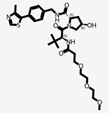 COCCOCCOCCC(=O)N[C@H](C(=O)N1C[C@H](O)C[C@H]1C(=O)NCc1ccc(-c2scnc2C)cc1)C(C)(C)C